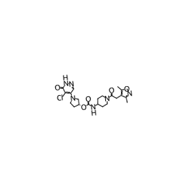 Cc1noc(C)c1CC(=O)N1CCC(NC(=O)O[C@@H]2CCN(c3cn[nH]c(=O)c3Cl)C2)CC1